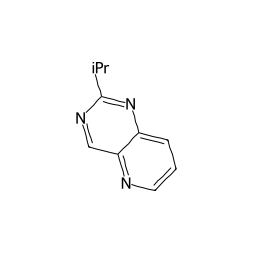 CC(C)c1ncc2ncccc2n1